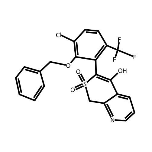 O=S1(=O)Cc2ncccc2C(O)=C1c1c(C(F)(F)F)ccc(Cl)c1OCc1ccccc1